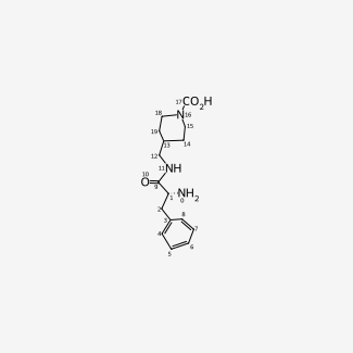 N[C@H](Cc1ccccc1)C(=O)NCC1CCN(C(=O)O)CC1